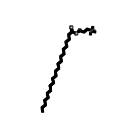 CCCCCCCCCCCCCCCCCCCCCCC(=O)OOCC[N+](C)(C)C